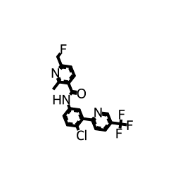 Cc1nc(CF)ccc1C(=O)Nc1ccc(Cl)c(-c2ccc(C(F)(F)F)cn2)c1